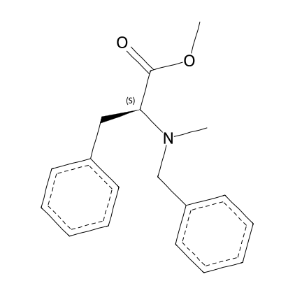 COC(=O)[C@H](Cc1ccccc1)N(C)Cc1ccccc1